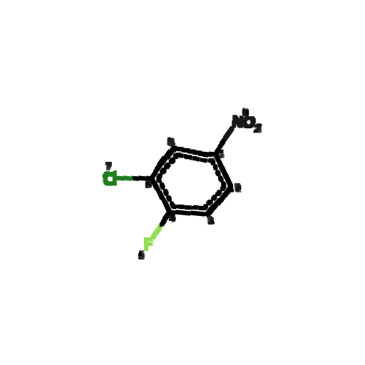 O=[N+]([O-])c1[c]cc(F)c(Cl)c1